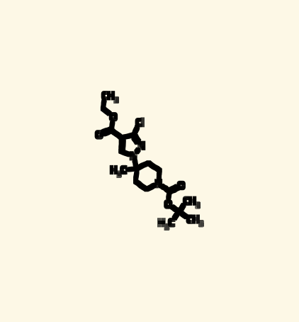 CCOC(=O)c1cn(C2(C)CCN(C(=O)OC(C)(C)C)CC2)nc1Cl